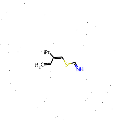 C=C/C(=C\SC=N)C(C)C